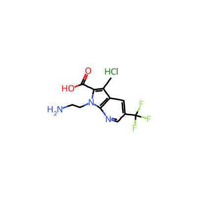 Cc1c(C(=O)O)n(CCN)c2ncc(C(F)(F)F)cc12.Cl